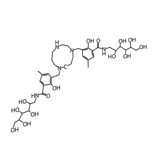 Cc1cc(CN2CCCNCCN(Cc3cc(C)cc(C(=O)NCC(O)C(O)C(O)C(O)CO)c3O)CCC2)c(O)c(C(=O)NCC(O)C(O)C(O)C(O)CO)c1